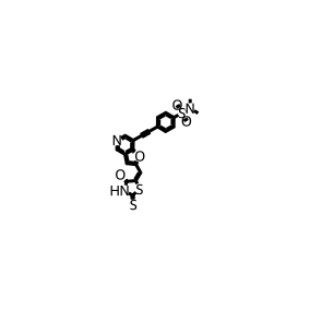 CN(C)S(=O)(=O)c1ccc(C#Cc2cncc3cc(C=C4SC(=S)NC4=O)oc23)cc1